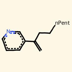 C=C(CCCCCCC)c1cccnc1